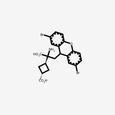 NC(CC1c2cc(Br)ccc2Oc2ccc(Br)cc21)(C(=O)O)[C@H]1C[C@H](C(=O)O)C1